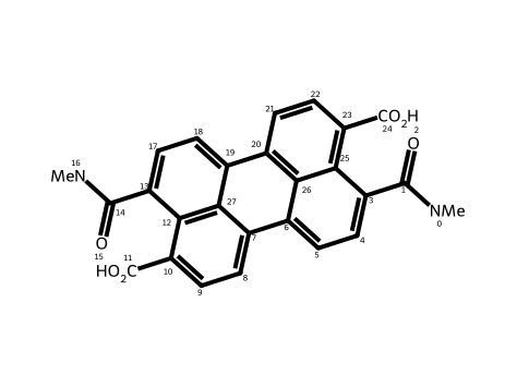 CNC(=O)c1ccc2c3ccc(C(=O)O)c4c(C(=O)NC)ccc(c5ccc(C(=O)O)c1c52)c43